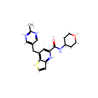 Cc1ncc(Cc2cc(C(=O)NC3CCOCC3)nc3ccsc23)cn1